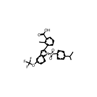 Cc1c(C(=O)O)cccc1-c1cc2cc(OC(F)(F)F)ccc2n1S(=O)(=O)c1ccc(C(C)C)cc1